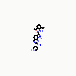 CCc1cccc(CC)c1NC(=O)c1nn(C)c2c1CCc1cnc(NC3CCNCC3)nc1-2